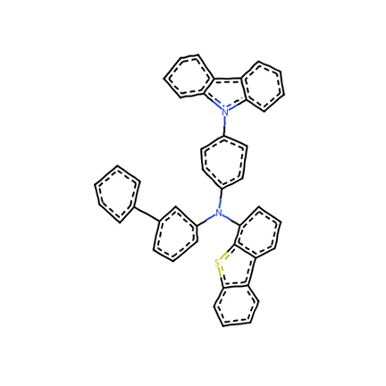 c1ccc(-c2cccc(N(c3ccc(-n4c5ccccc5c5ccccc54)cc3)c3cccc4c3sc3ccccc34)c2)cc1